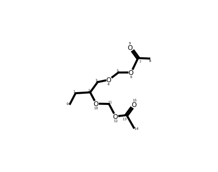 CCC(COCOC(C)=O)OCOC(C)=O